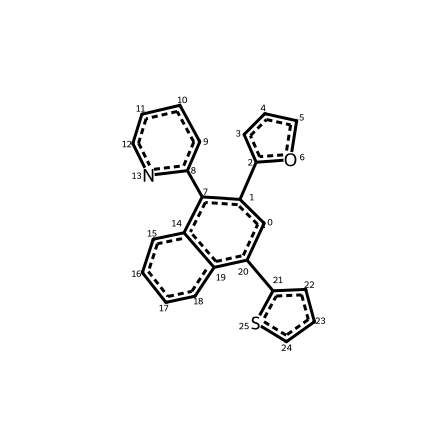 [c]1c(-c2ccco2)c(-c2ccccn2)c2ccccc2c1-c1cccs1